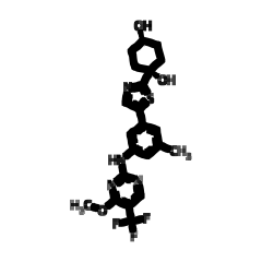 COc1nc(Nc2cc(C)cc(-c3cnc([C@]4(O)CC[C@@H](O)CC4)s3)c2)ncc1C(F)(F)F